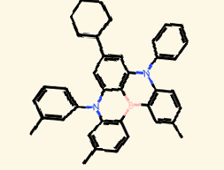 Cc1cccc(N2c3cc(C)ccc3B3c4cc(C)ccc4N(c4ccccc4)c4cc(C5CCCCC5)cc2c43)c1